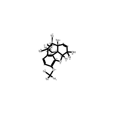 [2H]C([2H])([2H])Oc1ccc2c3c1OC1([2H])C([2H])(O)C=C[C@]4([2H])[C@@]31CCN(C)[C@]4([2H])C2([2H])[2H]